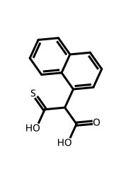 O=C(O)C(C(O)=S)c1cccc2ccccc12